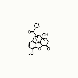 COc1ccc2c3c1OC1C(=O)CC[C@]4(O)C(C2)N(C(=O)C2CCC2)CC[C@@]314